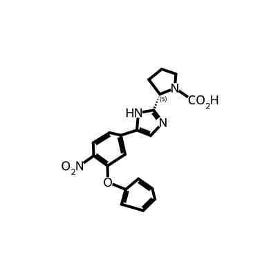 O=C(O)N1CCC[C@H]1c1ncc(-c2ccc([N+](=O)[O-])c(Oc3ccccc3)c2)[nH]1